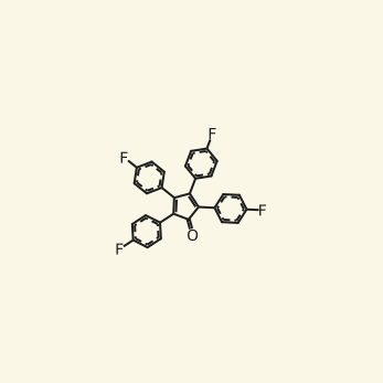 O=C1C(c2ccc(F)cc2)=C(c2ccc(F)cc2)C(c2ccc(F)cc2)=C1c1ccc(F)cc1